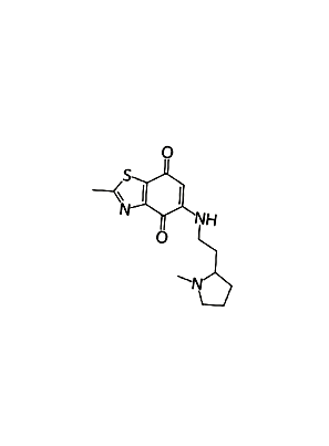 Cc1nc2c(s1)C(=O)C=C(NCCC1CCCN1C)C2=O